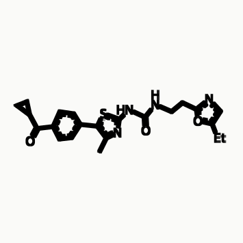 CCc1cnc(CCNC(=O)Nc2nc(C)c(-c3ccc(C(=O)C4CC4)cc3)s2)o1